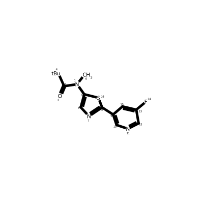 CN(C(=O)C(C)(C)C)c1cnc(-c2cncc(F)c2)s1